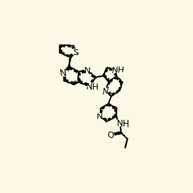 CCC(=O)Nc1cncc(-c2ccc3[nH]cc(-c4nc5c(-c6cccs6)nccc5[nH]4)c3n2)c1